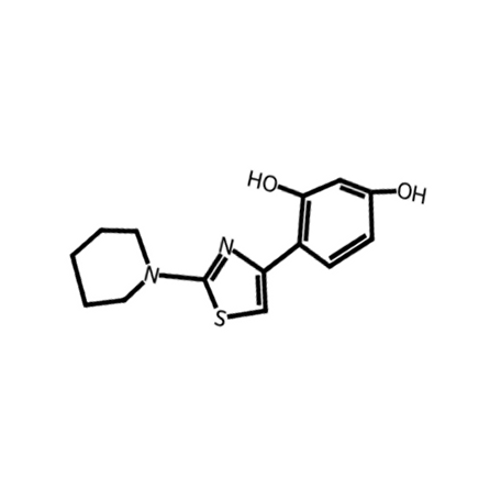 Oc1ccc(-c2csc(N3CCCCC3)n2)c(O)c1